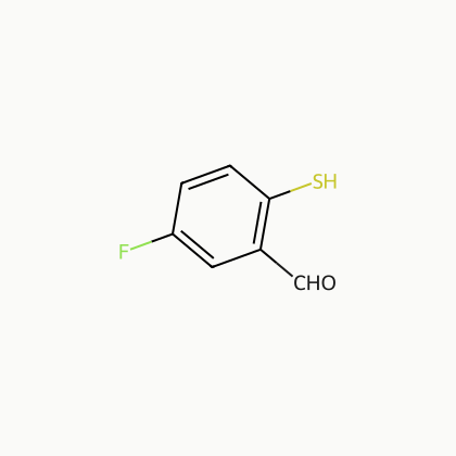 O=Cc1cc(F)ccc1S